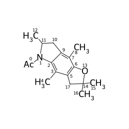 CC(=O)N1c2c(C)c3c(c(C)c2CC1C)OC(C)(C)C3